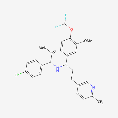 C=C(NC)[C@H](N[C@@H](CCc1ccc(C(F)(F)F)nc1)c1ccc(OC(F)F)c(OC)c1)c1ccc(Cl)cc1